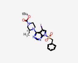 C[C@H]1CN(C(=O)OC(C)(C)C)CCN1c1ncnc2c1c(I)cn2S(=O)(=O)Cc1ccccc1